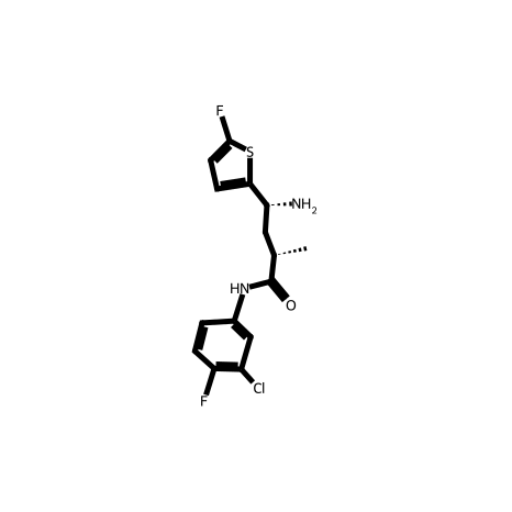 C[C@@H](C[C@@H](N)c1ccc(F)s1)C(=O)Nc1ccc(F)c(Cl)c1